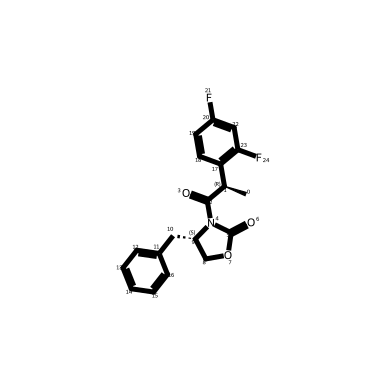 C[C@@H](C(=O)N1C(=O)OC[C@@H]1Cc1ccccc1)c1ccc(F)cc1F